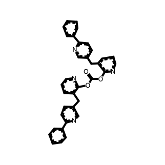 O=C(Oc1ncccc1Cc1ccc(-c2ccccc2)nc1)Oc1ncccc1Cc1ccc(-c2ccccc2)nc1